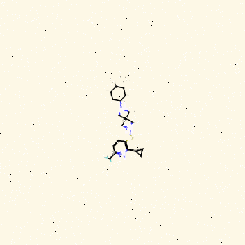 COC1CCC(N2CC3(CN(Sc4ccc(C(F)F)nc4C4CC4)C3)C2)CC1